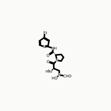 CCCC[C@H](CN(O)C=O)C(=O)N1CCC[C@H]1C(=O)Nc1cc(CC)ccn1